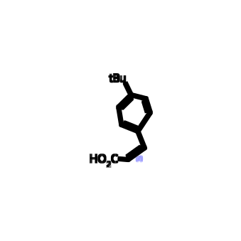 CC(C)(C)c1ccc(/C=C\C(=O)O)cc1